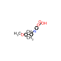 CCOc1cc(C)c(-c2cccc(C=Nc3ccc(OCC(=O)O)cc3)c2)c(C)c1